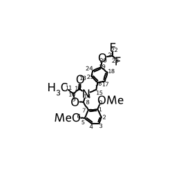 COc1cccc(OC)c1C1OC(C)C(=O)N1Cc1ccc(OC(F)F)cc1